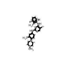 Cc1cc(Nc2ncc(F)c(N[C@@H]3[C@H](C)[C@H]4C=C[C@@H]3C4)n2)ccc1N1CCN(C)CC1